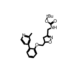 Cc1cc(-c2ccccc2OCC2CC(CNC(=O)OC(C)(C)C)=NO2)ccn1